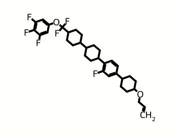 C=CCOC1CCC(c2ccc(C3CCC(C4CCC(C(F)(F)Oc5cc(F)c(F)c(F)c5)CC4)CC3)c(F)c2)CC1